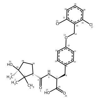 CC1(C)[C@@H](C(=O)N[C@@H](Cc2ccc(OCc3c(Cl)cccc3Cl)cc2)C(=O)O)CC[C@]1(C)O